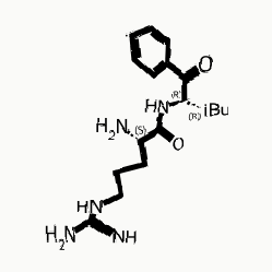 CC[C@@H](C)[C@@H](NC(=O)[C@@H](N)CCCNC(=N)N)C(=O)c1cc[c]cc1